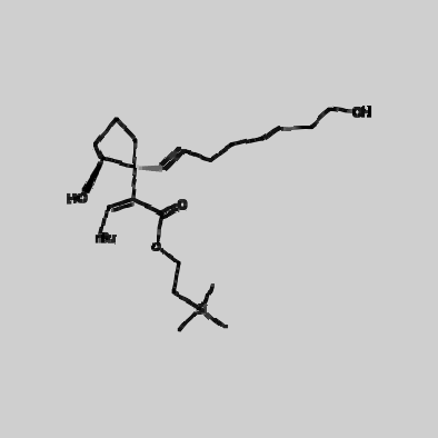 CCCCC=C(C(=O)OCC[Si](C)(C)C)[C@]1(C=CCCCCCCO)CCC[C@@H]1O